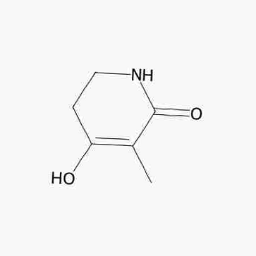 CC1=C(O)CCNC1=O